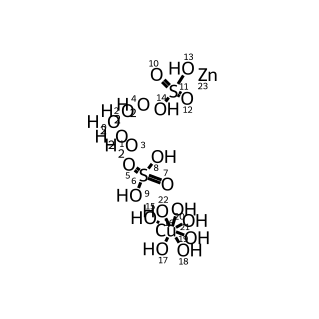 O.O.O.O.O.O=S(=O)(O)O.O=S(=O)(O)O.[OH][Cu]([OH])([OH])([OH])([OH])([OH])[OH].[Zn]